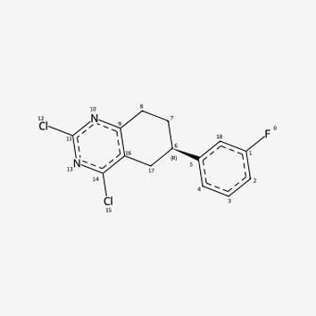 Fc1cccc([C@@H]2CCc3nc(Cl)nc(Cl)c3C2)c1